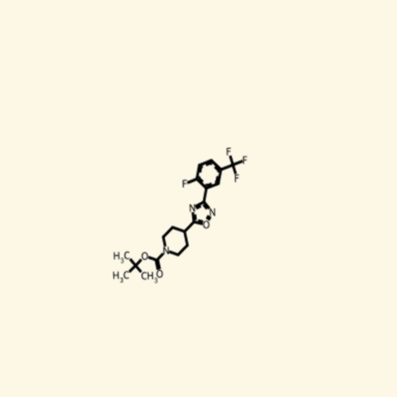 CC(C)(C)OC(=O)N1CCC(c2nc(-c3cc(C(F)(F)F)ccc3F)no2)CC1